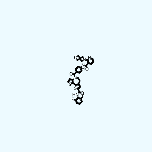 O=C(Nc1c(F)cccc1F)c1cc2c(s1)-c1sccc1N(C(=O)c1ccc(NC(=O)c3cccnc3N3CC4(COC4)C3)cc1)CC2